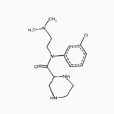 CN(C)CCN(C(=O)C1CNCCN1)c1cccc(Cl)c1